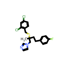 CC(CCc1ccc(F)cc1)(Cn1ccnc1)SCc1ccc(Cl)cc1Cl